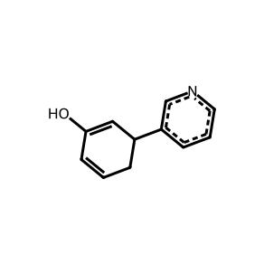 OC1=CC(c2cccnc2)CC=C1